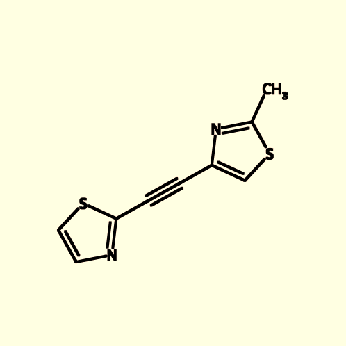 Cc1nc(C#Cc2nccs2)cs1